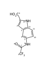 O=C(O)c1cc2cc(NC(=O)C(F)(F)F)ccc2[nH]1